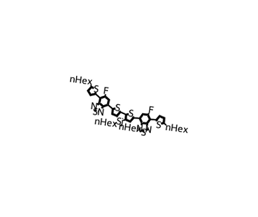 CCCCCCc1ccc(-c2c(F)cc(-c3cc4c(s3)-c3sc(-c5cc(F)c(-c6ccc(CCCCCC)s6)c6nsnc56)cc3[Si]4(CCCCCC)CCCCCC)c3nsnc23)s1